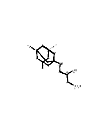 CC12C[C@H]3C[C@@H](C1)CC(NCC(O)CS(=O)(=O)O)(C3)C2